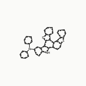 c1ccc(N(c2ccccc2)c2ccc3[nH]c4c5ccc6sc7ccccc7c6c5c5c6ccccc6sc5c4c3c2)cc1